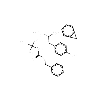 CC(C)C(C)(NC(=O)OCc1ccccc1)C(C)C.N[C@@H](Cc1ccc(O)cc1)C(=O)O.c1ccc2c(c1)C2